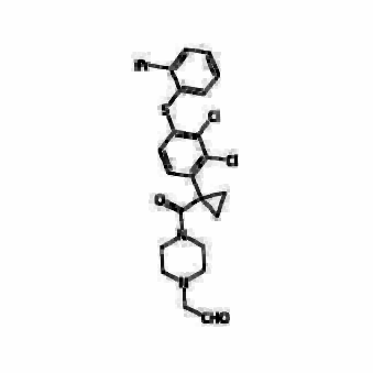 CC(C)c1ccccc1Sc1ccc(C2(C(=O)N3CCN(CC=O)CC3)CC2)c(Cl)c1Cl